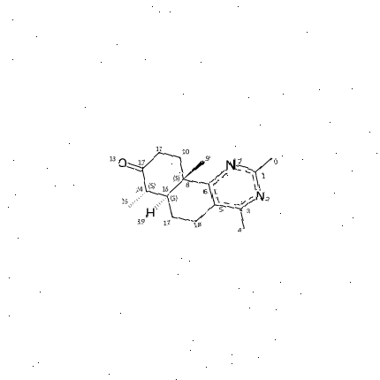 Cc1nc(C)c2c(n1)[C@@]1(C)CCC(=O)[C@@H](C)[C@@H]1CC2